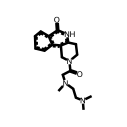 CN(C)CCN(C)CC(=O)N1CCc2[nH]c(=O)c3ccccc3c2C1